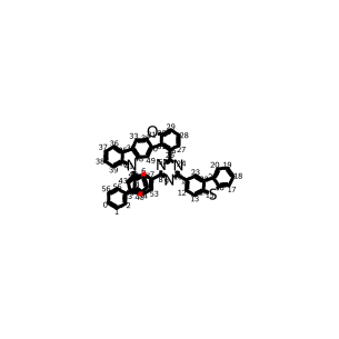 c1ccc(-c2ccc(-c3nc(-c4ccc5sc6ccccc6c5c4)nc(-c4cccc5oc6cc7c8ccccc8n(-c8ccccc8)c7cc6c45)n3)cc2)cc1